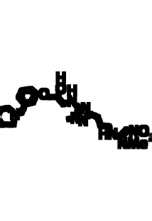 CNC(=C[N+](=O)[O-])NCCCc1nc(NCC(O)COc2cccc(CN3CCCCC3)c2)n(C)n1